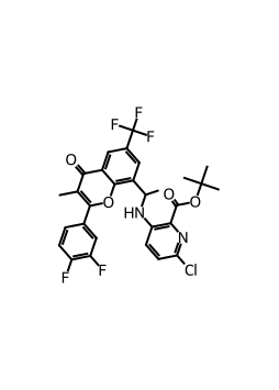 Cc1c(-c2ccc(F)c(F)c2)oc2c(C(C)Nc3ccc(Cl)nc3C(=O)OC(C)(C)C)cc(C(F)(F)F)cc2c1=O